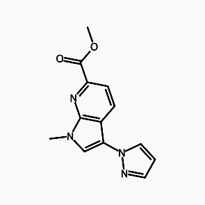 COC(=O)c1ccc2c(-n3cccn3)cn(C)c2n1